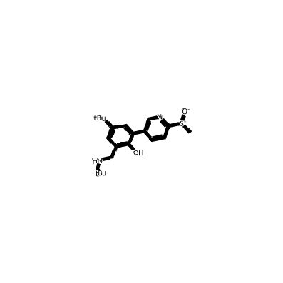 C[S+]([O-])c1ccc(-c2cc(C(C)(C)C)cc(CNC(C)(C)C)c2O)cn1